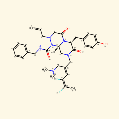 C=CCN1CC(=O)N2[C@@H](Cc3ccc(O)cc3)C(=O)N(C/C(=C/C(F)=C(\C)F)CN(C)C)C[C@@H]2N1C(=O)NCc1ccccc1